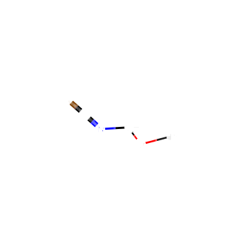 CC(C)O[SiH2]N=C=S